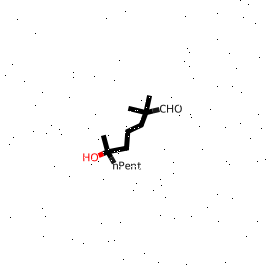 CCCCCC(C)(O)CCCC(C)(C)C=O